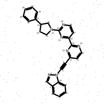 C(#Cn1ncc2ccccc21)c1ccnc(-c2ccnc(N3CCC(c4ccccc4)C3)n2)n1